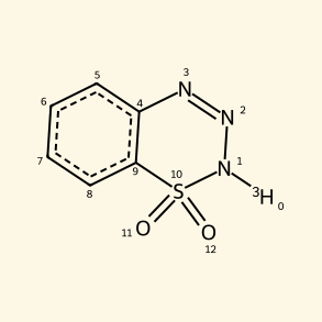 [3H]N1N=Nc2ccccc2S1(=O)=O